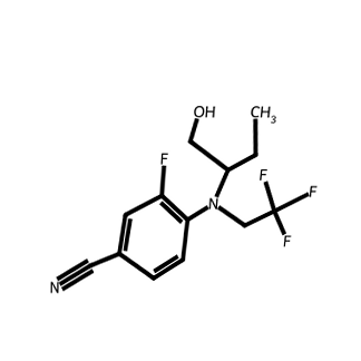 CCC(CO)N(CC(F)(F)F)c1ccc(C#N)cc1F